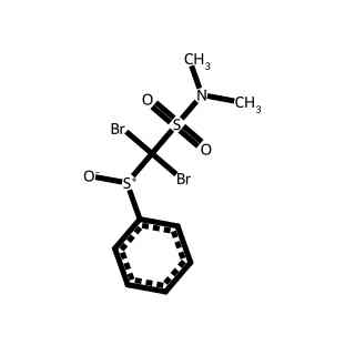 CN(C)S(=O)(=O)C(Br)(Br)[S+]([O-])c1ccccc1